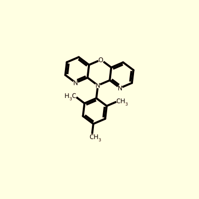 Cc1cc(C)c(N2c3ncccc3Oc3cccnc32)c(C)c1